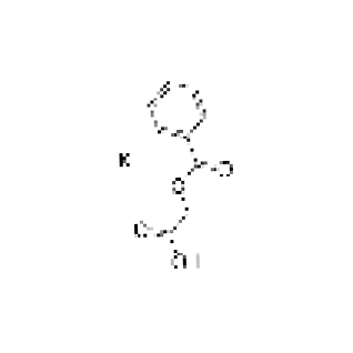 O=C(O)COC(=O)c1ccccc1.[K]